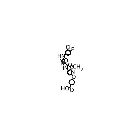 COc1nc(OC2CCC(C(=O)O)CC2)ccc1NC(=O)c1nnc(Nc2ccc(F)c(Cl)c2)o1